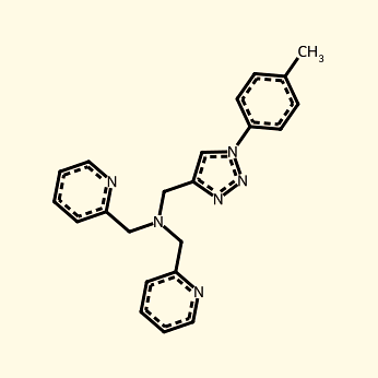 Cc1ccc(-n2cc(CN(Cc3ccccn3)Cc3ccccn3)nn2)cc1